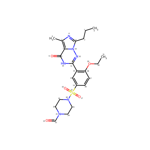 CCCc1nc(C)c2c(=O)[nH]c(-c3cc(S(=O)(=O)N4CCN(C=O)CC4)ccc3OCC)nn12